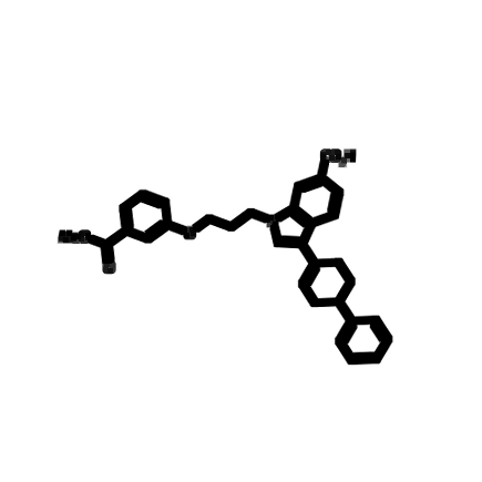 COC(=O)c1cccc(OCCCn2cc(C3=CCC(c4ccccc4)CC3)c3ccc(C(=O)O)cc32)c1